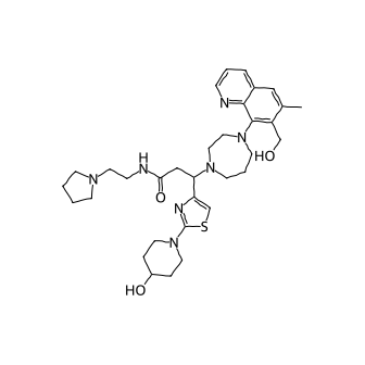 Cc1cc2cccnc2c(N2CCCN(C(CC(=O)NCCN3CCCC3)c3csc(N4CCC(O)CC4)n3)CC2)c1CO